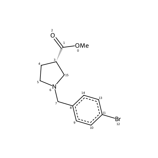 COC(=O)[C@H]1CCN(Cc2ccc(Br)cc2)C1